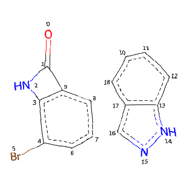 O=C1Nc2c(Br)cccc21.c1ccc2[nH]ncc2c1